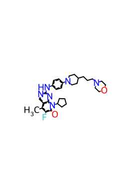 Cc1c(F)c(=O)n(C2CCCC2)c2nc(Nc3ccc(N4CCC(CCCN5CCOCC5)CC4)cc3)ncc12